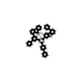 CC1(C)c2ccccc2-c2cccc(-c3cc(-c4ccccc4)cc(-c4nc(-c5ccc(-c6ccccc6)cc5)nc(-c5ccc6c(c5)oc5cccc(-c7ccccc7)c56)n4)c3)c21